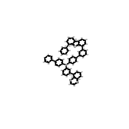 c1ccc(-c2ccc(N(c3ccc(-c4cccc(-c5cccc6c5oc5c(-c7ccccc7)cccc56)c4)cc3)c3cccc(-c4cccc5nccnc45)c3)cc2)cc1